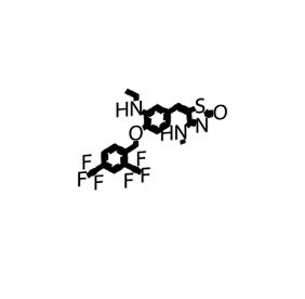 CCNc1cc(C=C2SC(=O)N=C2NC)ccc1OCc1ccc(C(F)(F)F)cc1C(F)(F)F